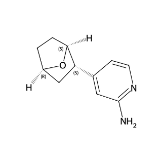 Nc1cc([C@@H]2C[C@H]3CC[C@@H]2O3)ccn1